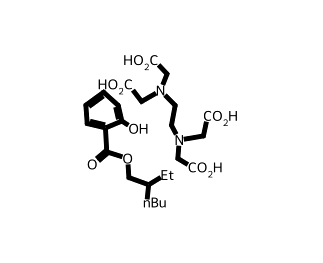 CCCCC(CC)COC(=O)c1ccccc1O.O=C(O)CN(CCN(CC(=O)O)CC(=O)O)CC(=O)O